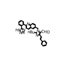 CCCCc1nc(C=Cc2ccccc2)c(C=O)n1Cc1ccc2nc(-c3ccccc3-c3nnn[nH]3)ccc2c1